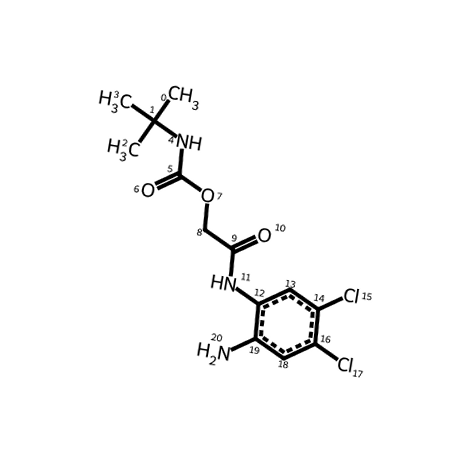 CC(C)(C)NC(=O)OCC(=O)Nc1cc(Cl)c(Cl)cc1N